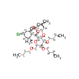 CCCCOCC1O[C@H]([C@H](OC(C)=O)c2c(C)cc(Br)cc2C)C(OCCCC)C(OCCCC)[C@@H]1OCCCC